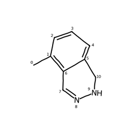 Cc1cccc2c1C=NNC2